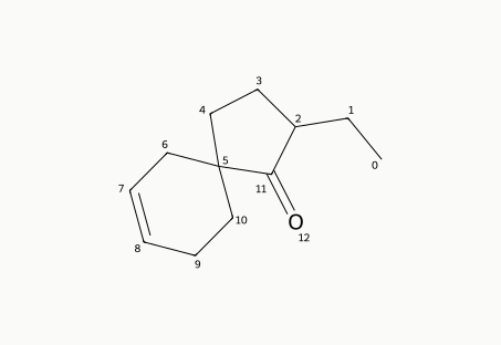 CCC1CCC2(CC=CCC2)C1=O